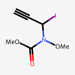 C#CC(I)N(OC)C(=O)OC